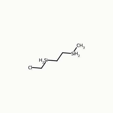 C[SiH2]CC[SiH2]CCl